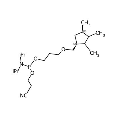 CC1C(C)[C@H](C)C[C@@H]1COCCCOP(OCCC#N)N(C(C)C)C(C)C